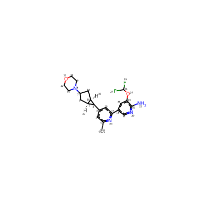 CCc1cc(C2[C@H]3CC(N4CCOCC4)C[C@@H]23)cc(-c2cnc(N)c(OC(F)F)c2)n1